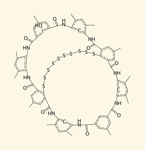 Cc1cc2cc(c1)C(=O)Nc1cc(c(C)cc1C)NC(=O)c1cc(C)cc3c1SSSSSSSSSSc1c(cc(C)cc1C(=O)Nc1cc(c(C)cc1C)NC(=O)c1cc(C)cc(c1O)C(=O)Nc1cc(c(C)cc1C)NC3=O)C(=O)Nc1cc(c(C)cc1C)NC2=O